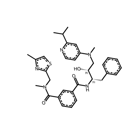 Cc1csc(CN(C)C(=O)c2cccc(C(=O)N[C@@H](Cc3ccccc3)[C@H](O)CN(C)c3ccnc(C(C)C)c3)c2)n1